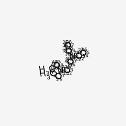 CC1(C)c2ccccc2N(c2cccc(-c3ccc(N(c4ccc5ccccc5c4)c4ccc5ccccc5c4)cc3)c2)c2ccccc21